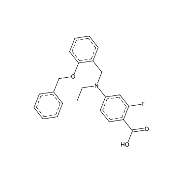 CCN(Cc1ccccc1OCc1ccccc1)c1ccc(C(=O)O)c(F)c1